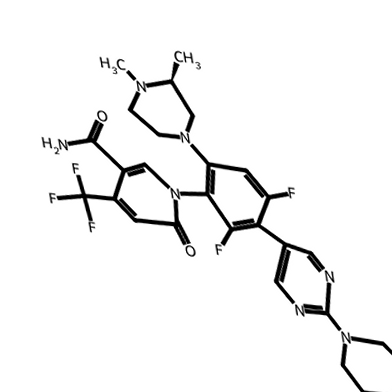 CC(C)[C@@H]1CN(c2ncc(-c3c(F)cc(N4CCN(C)[C@@H](C)C4)c(-n4cc(C(N)=O)c(C(F)(F)F)cc4=O)c3F)cn2)CCO1